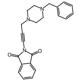 O=C1c2ccccc2C(=O)N1C#CCN1CCN(Cc2ccccc2)CC1